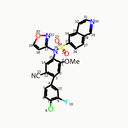 COc1cc(-c2ccc(Cl)c(F)c2)c(C#N)cc1N(c1ccon1)S(=O)(=O)c1ccc2cnccc2c1